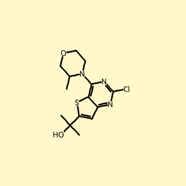 CC1COCCN1c1nc(Cl)nc2cc(C(C)(C)O)sc12